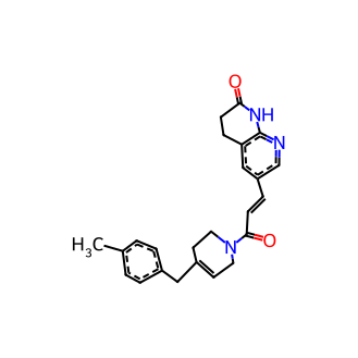 Cc1ccc(CC2=CCN(C(=O)C=Cc3cnc4c(c3)CCC(=O)N4)CC2)cc1